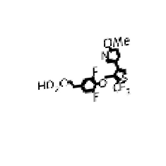 COc1ccc(-c2csc(C(F)(F)F)c2COc2c(F)cc(CCC(=O)O)cc2F)cn1